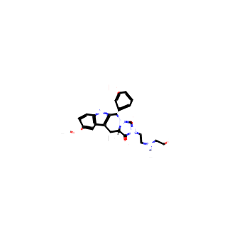 CCOc1ccc2[nH]c3c(c2c1)C[C@@]1(C)C(=O)N(CCN(CC)CCO)C(=O)N1[C@@H]3c1cccc(O)c1